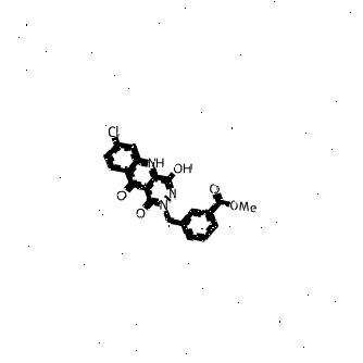 COC(=O)c1cccc(Cn2nc(O)c3[nH]c4cc(Cl)ccc4c(=O)c3c2=O)c1